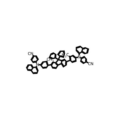 [C-]#[N+]c1ccc(N(c2ccc(-c3ccc4c(c3)C(c3ccccc3)(c3ccccc3)c3cc(-c5ccc(N(c6ccc(C#N)cc6)c6cccc7ccccc67)cc5C)ccc3-4)c(C)c2)c2cccc3ccccc23)cc1